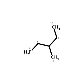 CCC(C)CP